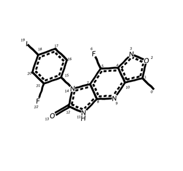 Cc1onc2c(F)c3c(nc12)[nH]c(=O)n3-c1ccc(I)cc1F